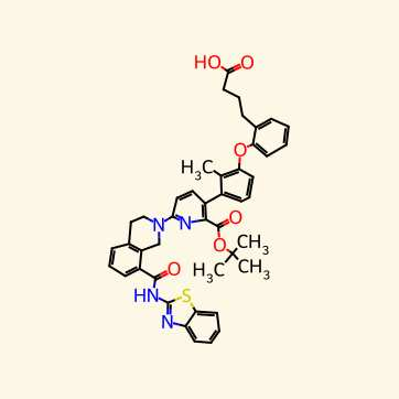 Cc1c(Oc2ccccc2CCCC(=O)O)cccc1-c1ccc(N2CCc3cccc(C(=O)Nc4nc5ccccc5s4)c3C2)nc1C(=O)OC(C)(C)C